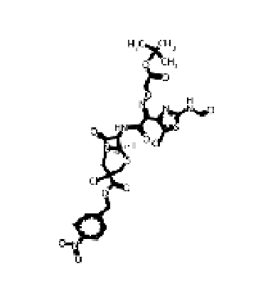 CC(C)(C)OC(=O)CON=C(C(=O)NC1C(=O)N2CC(Cl)(C(=O)OCc3ccc([N+](=O)[O-])cc3)CS[C@H]12)c1nc(NC=O)sc1Cl